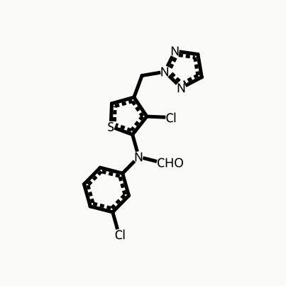 O=CN(c1cccc(Cl)c1)c1scc(Cn2nccn2)c1Cl